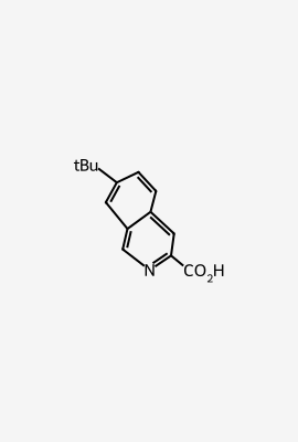 CC(C)(C)c1ccc2cc(C(=O)O)ncc2c1